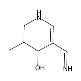 CC1CNC=C(C=N)C1O